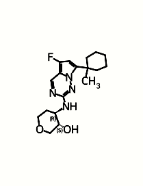 CC1(c2cc(F)c3cnc(N[C@@H]4CCOC[C@H]4O)nn23)CCCCC1